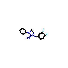 N=C1N(Cc2ccc(F)c(F)c2)CCN1c1ccccc1